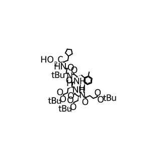 Cc1ccccc1C[C@H](NC(=O)[C@H](CCC(=O)OC(C)(C)C)NC(=O)[C@H](CC(=O)OC(C)(C)C)NC(=O)CCC(=O)OC(C)(C)C)C(=O)N[C@H](C(=O)N[C@@H](CC1CCCC1)C(=O)O)C(C)(C)C